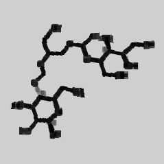 CC(OCC(CO)OCO[C@@H]1C(CO)O[C@@H](O)C(O)C1O)OC(CO)[C@@H](O)C(O)CO